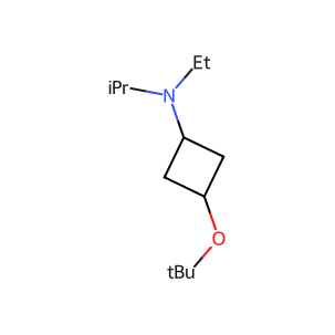 CCN(C(C)C)C1CC(OC(C)(C)C)C1